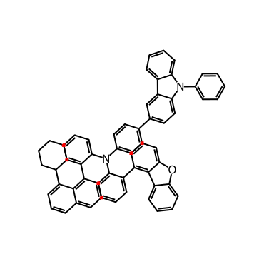 c1ccc(-n2c3ccccc3c3cc(-c4ccc(N(c5ccccc5-c5cccc6cccc(C7CCCCC7)c56)c5ccccc5-c5cccc6oc7ccccc7c56)cc4)ccc32)cc1